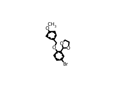 COc1ccc(COc2ccc(Br)cc2C2OCCO2)cc1